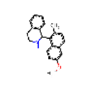 COc1ccc2c(C3NCCc4ccccc43)c(C)ccc2c1